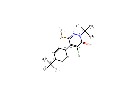 CSc1nn(C(C)(C)C)c(=O)c(Cl)c1C1C=CC(C(C)(C)C)CC1